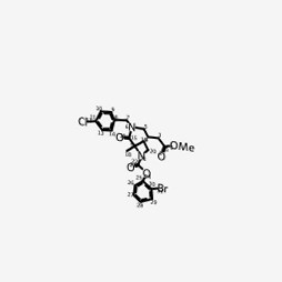 COC(=O)CCCN(Cc1ccc(Cl)cc1)C(=O)C1(C)CCN1C(=O)Oc1ccccc1Br